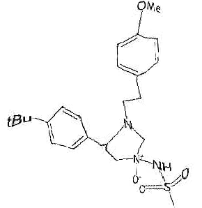 COc1ccc(CCN2C[N+]([O-])(NS(C)(=O)=O)CC2c2ccc(C(C)(C)C)cc2)cc1